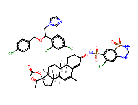 CC(=O)O[C@]1(C(C)=O)CC[C@H]2[C@@H]3C=C(C)C4=CC(=O)CC[C@]4(C)[C@H]3CC[C@@]21C.Clc1ccc(COC(Cn2ccnc2)c2ccc(Cl)cc2Cl)cc1.NS(=O)(=O)c1cc2c(cc1Cl)NCNS2(=O)=O